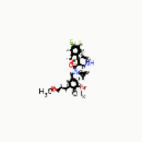 COCCCc1cc(CN(C(=O)C2CNCC[C@@]23OCc2cc(F)c(F)cc23)C2CC2)cc(Br)c1C